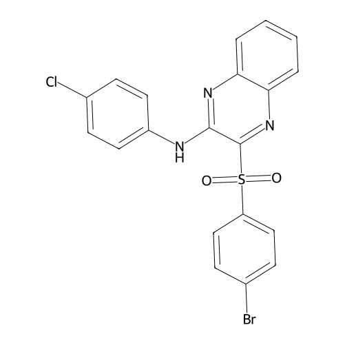 O=S(=O)(c1ccc(Br)cc1)c1nc2ccccc2nc1Nc1ccc(Cl)cc1